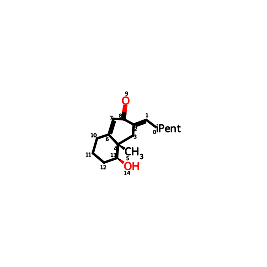 CCCC(C)/C=C1\C[C@@]2(C)C(=CC1=O)CCC[C@@H]2O